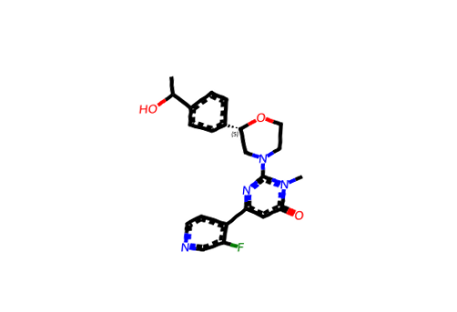 CC(O)c1ccc([C@H]2CN(c3nc(-c4ccncc4F)cc(=O)n3C)CCO2)cc1